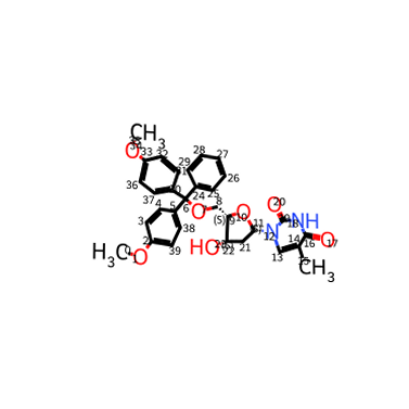 COc1ccc(C(OC[C@@H]2O[C@H](n3cc(C)c(=O)[nH]c3=O)C[C@@H]2O)(c2ccccc2)c2ccc(OC)cc2)cc1